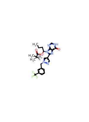 CCCC(OC(=O)C(C)(C)C)n1c(-c2cnn(Cc3cccc(C(F)(F)F)c3)c2)nc2c(=O)[nH]cnc21